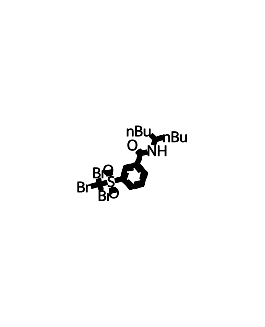 CCCCC(CCCC)NC(=O)c1cccc(S(=O)(=O)C(Br)(Br)Br)c1